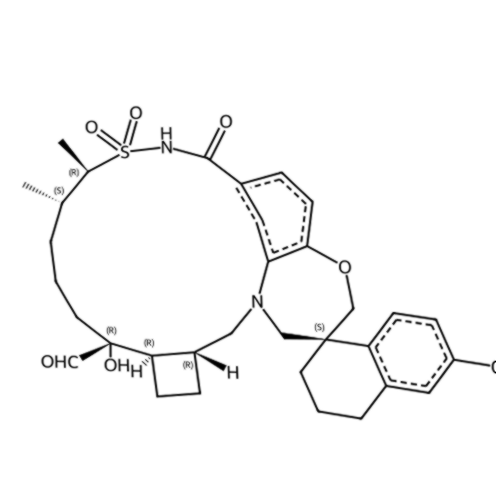 C[C@@H]1[C@@H](C)CCC[C@](O)(C=O)[C@@H]2CC[C@H]2CN2C[C@@]3(CCCc4cc(Cl)ccc43)COc3ccc(cc32)C(=O)NS1(=O)=O